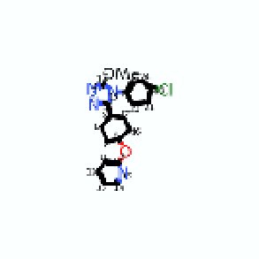 COc1nnc(C2CCC(Oc3ccccn3)CC2)n1-c1ccc(Cl)cc1